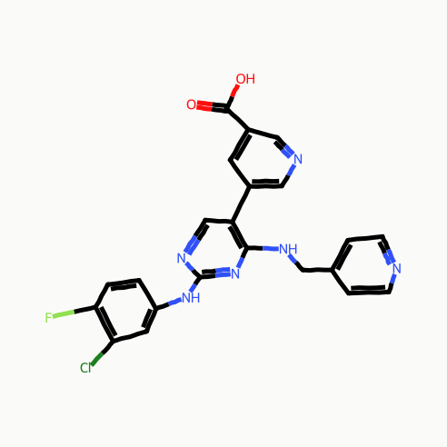 O=C(O)c1cncc(-c2cnc(Nc3ccc(F)c(Cl)c3)nc2NCc2ccncc2)c1